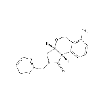 Cc1cccc2c1CO[C@H]1CN(Cc3ccccc3)C(=O)[C@@H]21